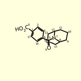 O=C(O)c1ccc(C(=O)N2C3CCCC2COC3)cc1